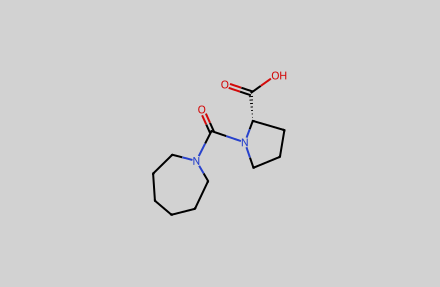 O=C(O)[C@@H]1CCCN1C(=O)N1CCCCCC1